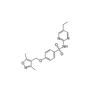 CCc1cnc(NS(=O)(=O)c2ccc(OCc3c(C)noc3C)cc2)nc1